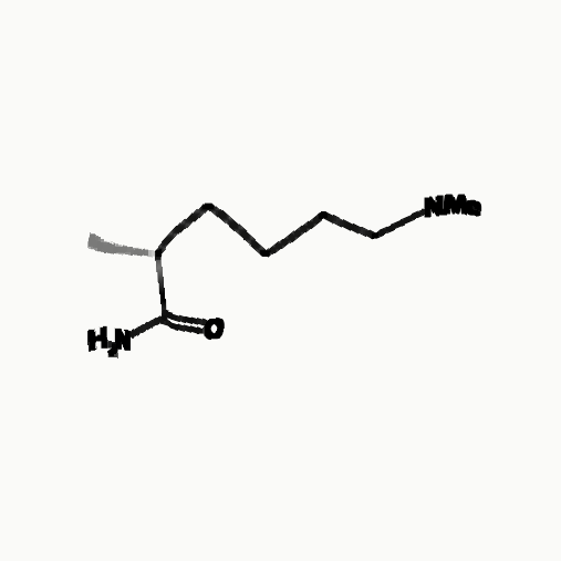 CNCCCC[C@@H](C)C(N)=O